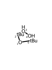 CC(C)(C)OC(C)(C)C.OO